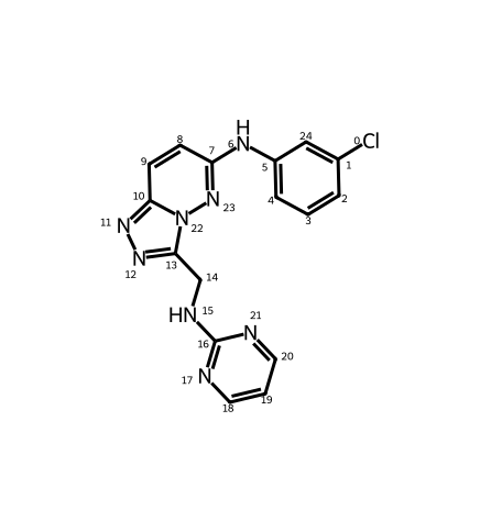 Clc1cccc(Nc2ccc3nnc(CNc4ncccn4)n3n2)c1